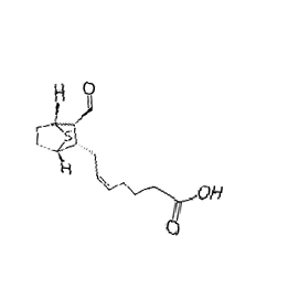 O=C[C@H]1[C@H](C/C=C\CCCC(=O)O)[C@@H]2CC[C@H]1S2